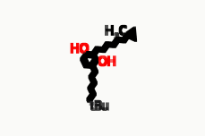 CC(C)(C)CCCCCCc1ccc(O)c(CCCCCCC2(C)CC2)c1O